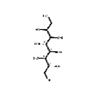 [CH2]CC(O)C(O)[C@@H](O)[C@@H](O)[C@H](O)[C@H](O)CO